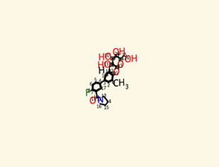 Cc1cc(-c2ccc(F)c(C(=O)N3CCCC3)c2)ccc1O[C@H]1O[C@H](CO)[C@@H](O)[C@H](O)[C@]1(C)O